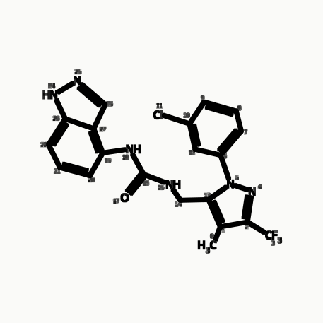 Cc1c(C(F)(F)F)nn(-c2cccc(Cl)c2)c1CNC(=O)Nc1cccc2[nH]ncc12